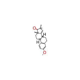 COc1ccc2c(c1)CC[C@H]1C3=C[C@H](C)C(=O)[C@@]3(C)CC[C@H]21